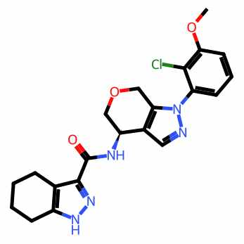 COc1cccc(-n2ncc3c2COC[C@@H]3NC(=O)c2n[nH]c3c2CCCC3)c1Cl